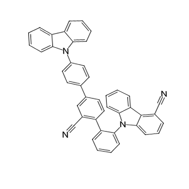 N#Cc1cc(-c2ccc(-n3c4ccccc4c4ccccc43)cc2)ccc1-c1ccccc1-n1c2ccccc2c2c(C#N)cccc21